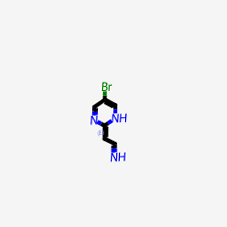 N=C/C=C1/N=CC(Br)=CN1